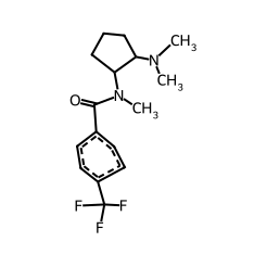 CN(C)C1CCCC1N(C)C(=O)c1ccc(C(F)(F)F)cc1